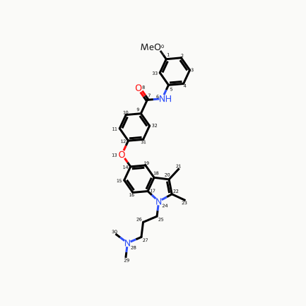 COc1cccc(NC(=O)c2ccc(Oc3ccc4c(c3)c(C)c(C)n4CCCN(C)C)cc2)c1